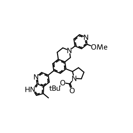 COc1cc(N2CCc3cc(-c4cnc5[nH]cc(C)c5c4)cc(C4CCCN4C(=O)OC(C)(C)C)c3C2)ccn1